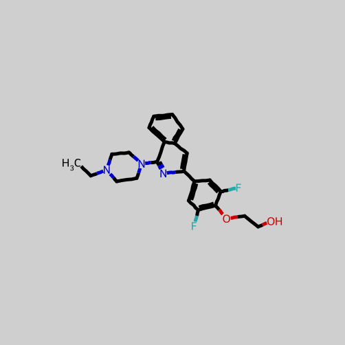 CCN1CCN(c2nc(-c3cc(F)c(OCCO)c(F)c3)cc3ccccc23)CC1